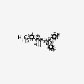 CC(=O)c1cccc(NC(=O)NCCCN2Cc3ccc(F)cc3CC2Cc2ccc(F)cc2)c1